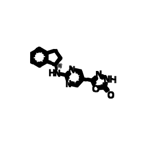 O=c1[nH]nc(-c2cnc(N[C@@H]3CCc4ccccc43)nc2)o1